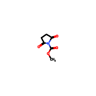 COC(=O)N1C(=O)CCC1=O